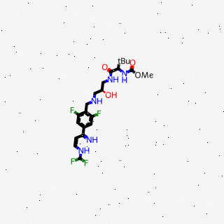 COC(=O)NC(C(=O)NC[C@@H](O)CNCc1c(F)cc(C(=N)/C=C\NC(F)F)cc1F)C(C)(C)C